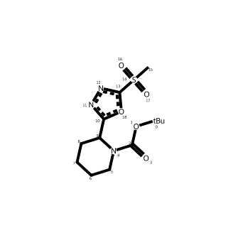 CC(C)(C)OC(=O)N1CCCCC1c1nnc(S(C)(=O)=O)o1